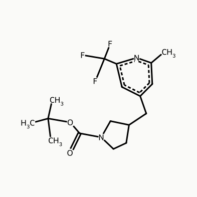 Cc1cc(CC2CCN(C(=O)OC(C)(C)C)C2)cc(C(F)(F)F)n1